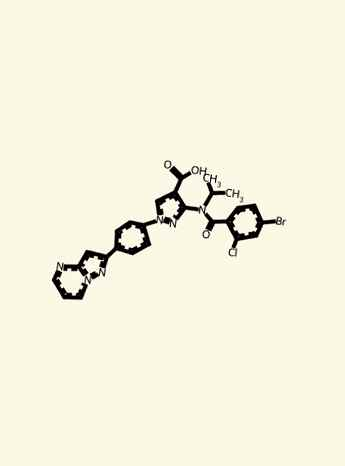 CC(C)N(C(=O)c1ccc(Br)cc1Cl)c1nn(-c2ccc(-c3cc4ncccn4n3)cc2)cc1C(=O)O